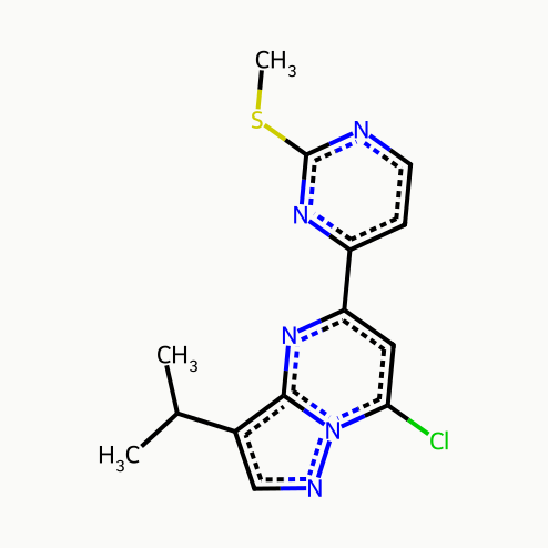 CSc1nccc(-c2cc(Cl)n3ncc(C(C)C)c3n2)n1